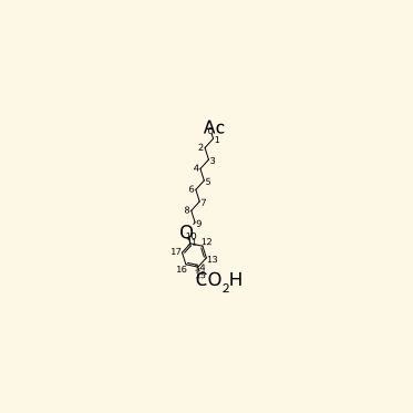 CC(=O)CCCCCCCCCOc1ccc(C(=O)O)cc1